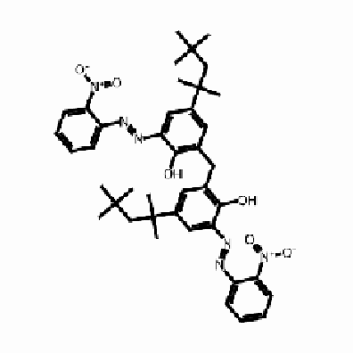 CC(C)(C)CC(C)(C)c1cc(Cc2cc(C(C)(C)CC(C)(C)C)cc(/N=N/c3ccccc3[N+](=O)[O-])c2O)c(O)c(/N=N/c2ccccc2[N+](=O)[O-])c1